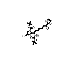 CC(C)(C)OC(=O)NC(CC=CCCC(=O)c1ncco1)c1nc(Br)cn1C(=O)OC(C)(C)C